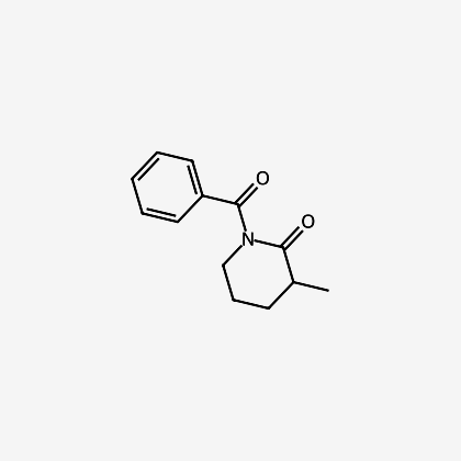 CC1CCCN(C(=O)c2ccccc2)C1=O